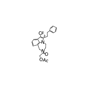 CC(=O)OCC(=O)N1CCn2c(CCc3ccccc3)c(C(F)(F)F)c3cccc(c32)C1